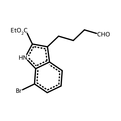 CCOC(=O)c1[nH]c2c(Br)cccc2c1CCCC=O